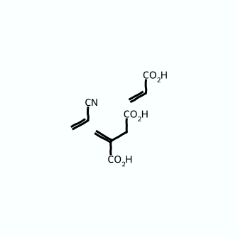 C=C(CC(=O)O)C(=O)O.C=CC#N.C=CC(=O)O